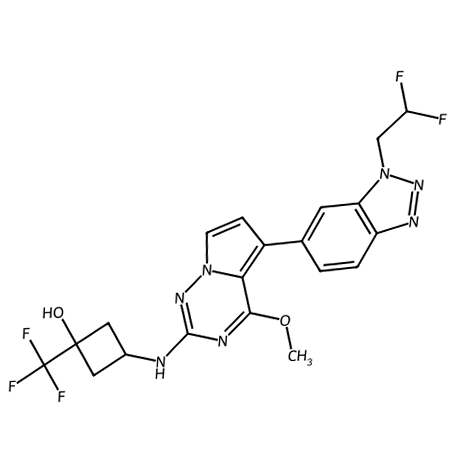 COc1nc(NC2CC(O)(C(F)(F)F)C2)nn2ccc(-c3ccc4nnn(CC(F)F)c4c3)c12